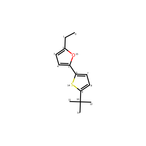 CCc1ccc(-c2ccc(C(C)(C)C)s2)o1